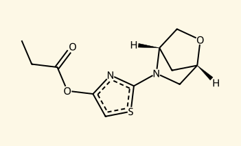 CCC(=O)Oc1csc(N2C[C@@H]3C[C@H]2CO3)n1